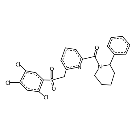 O=C(c1cccc(CS(=O)(=O)c2cc(Cl)c(Cl)cc2Cl)n1)N1CCCCC1c1ccccc1